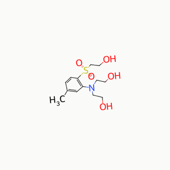 Cc1ccc(S(=O)(=O)CCO)c(N(CCO)CCO)c1